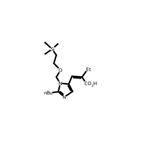 CCCCc1ncc(C=C(CC)C(=O)O)n1COCC[Si](C)(C)C